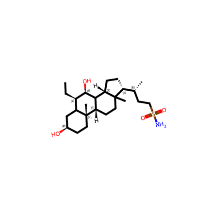 CC[C@@H]1C2C[C@H](O)CC[C@@]2(C)[C@H]2CCC3(C)[C@@H]([C@H](C)CCS(N)(=O)=O)CC[C@H]3C2[C@@H]1O